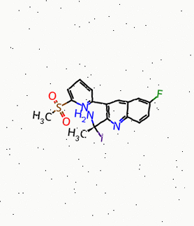 C[C@](N)(I)c1nc2ccc(F)cc2cc1-c1cccc(S(C)(=O)=O)n1